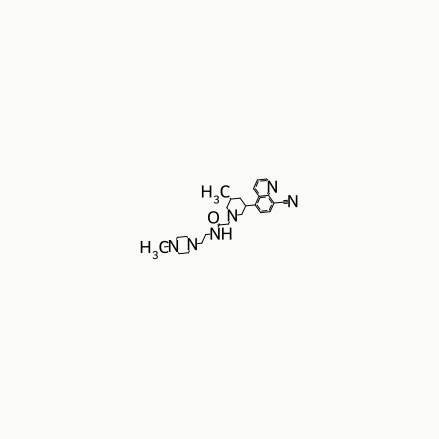 CC1CC(c2ccc(C#N)c3ncccc23)CN(CC(=O)NCCN2CCN(C)CC2)C1